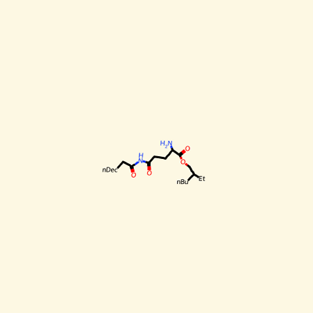 CCCCCCCCCCCC(=O)NC(=O)CCC(N)C(=O)OCC(CC)CCCC